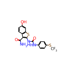 NC(=O)c1c(NC(=O)Nc2ccc(SC(F)(F)F)cc2)sc2cc(O)ccc12